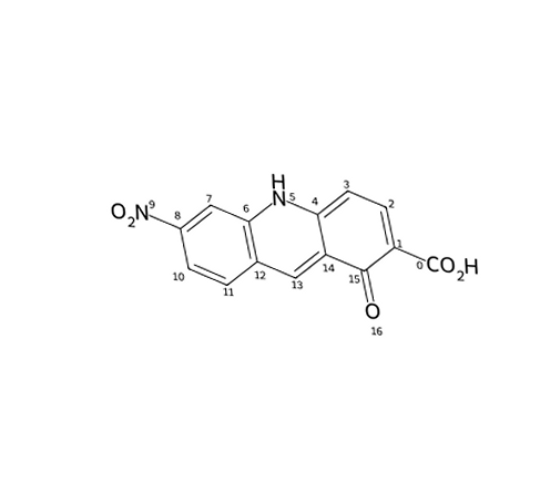 O=C(O)c1ccc2[nH]c3cc([N+](=O)[O-])ccc3cc-2c1=O